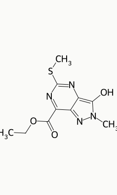 CCOC(=O)c1nc(SC)nc2c(O)n(C)nc12